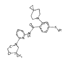 CC(C)Sc1ccc(C(=O)Nc2cccc(N3CCO[C@H](C)C3)n2)c(N2CCC3(CC2)CC3)c1